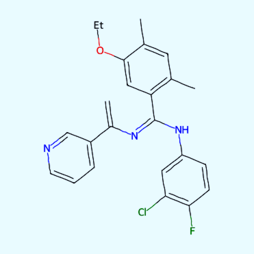 C=C(/N=C(/Nc1ccc(F)c(Cl)c1)c1cc(OCC)c(C)cc1C)c1cccnc1